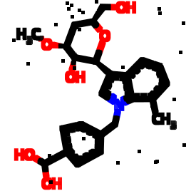 CO[C@H]1C[C@@H](CO)O[C@@H](c2cn(Cc3ccc(C(O)O)cc3)c3c(C)cccc23)[C@H]1O